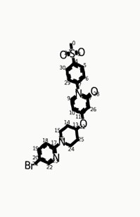 CS(=O)(=O)c1ccc(-n2ccc(OC3CCN(c4ccc(Br)cn4)CC3)cc2=O)cc1